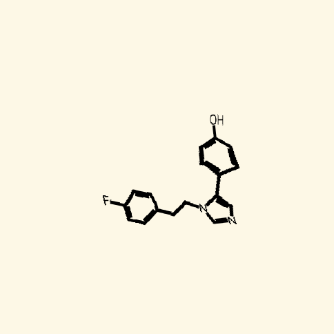 Oc1ccc(-c2cncn2CCc2ccc(F)cc2)cc1